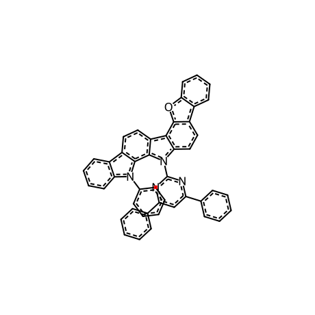 c1ccc(-c2cc(-c3ccccc3)nc(-n3c4ccc5c6ccccc6oc5c4c4ccc5c6ccccc6n(-c6ccccc6)c5c43)n2)cc1